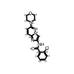 O=C(Nc1cn2nc(N3CCOCC3)ccc2n1)c1ccccc1Cl